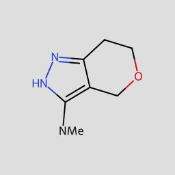 CNc1[nH]nc2c1COCC2